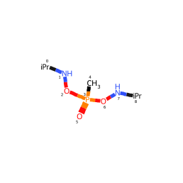 CC(C)NOP(C)(=O)ONC(C)C